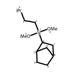 CO[Si](CCC(C)C)(OC)C1CC2CCC1C2